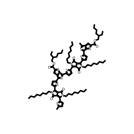 CCCCCCCCN1C(=O)C2=C(c3ccc(-c4sc(-c5ccc(C6=C7C(=O)N(CCCCCCCC)C(c8ccc(-c9sc(C)c%10cc(C(=O)OCC(CC)CCCC)sc9%10)s8)=C7C(=O)N6CCCCCCCC)s5)c5sc(C(=O)OCC(CC)CCCC)cc45)s3)N(CCCCCCCC)C(=O)C2=C1c1ccc(C)s1